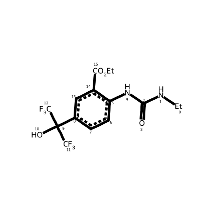 CCNC(=O)Nc1ccc(C(O)(C(F)(F)F)C(F)(F)F)cc1C(=O)OCC